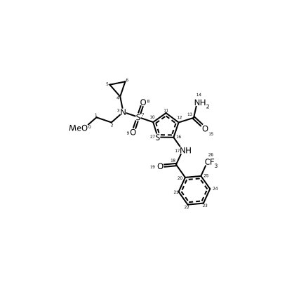 COCCN(C1CC1)S(=O)(=O)c1cc(C(N)=O)c(NC(=O)c2ccccc2C(F)(F)F)s1